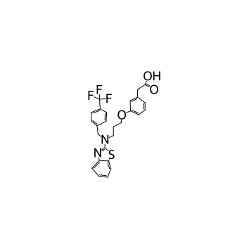 O=C(O)Cc1cccc(OCCCN(Cc2ccc(C(F)(F)F)cc2)c2nc3ccccc3s2)c1